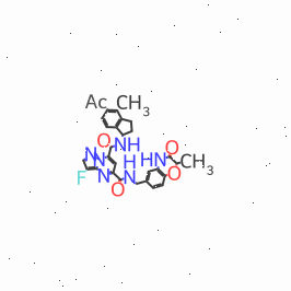 CC(=O)c1ccc2c(c1C)CC[C@@H]2NC(=O)c1cc(C(=O)NCc2ccc3c(c2)NC(=O)C(C)O3)nc2c(F)cnn12